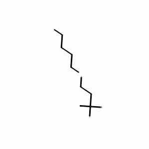 CCCCCOCCC(C)(F)F